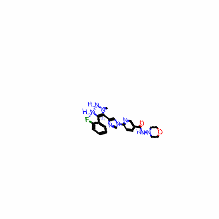 CN(N)/C(=C(\N)c1ccccc1F)c1cn(-c2ccc(C(=O)NN3CCOCC3)cn2)cn1